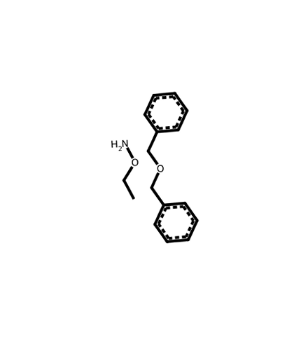 CCON.c1ccc(COCc2ccccc2)cc1